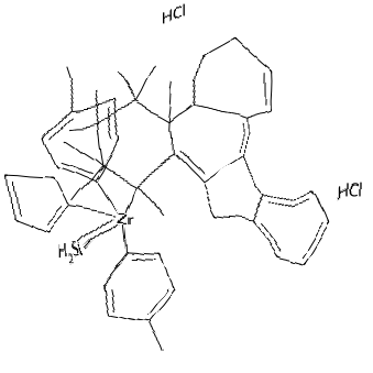 Cc1cc[c]([Zr](=[SiH2])([C]2=CC=CC2)([c]2ccc(C)cc2)[C]2(C)C3=C4Cc5ccccc5C4=C4C=CCCC4C3(C)C(C)(C)C(C)(C)C2(C)C)cc1.Cl.Cl